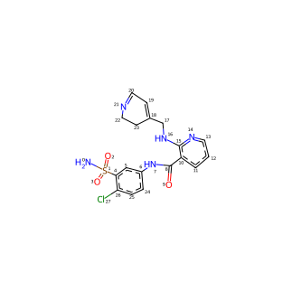 NS(=O)(=O)c1cc(NC(=O)c2cccnc2NCC2=CC=NCC2)ccc1Cl